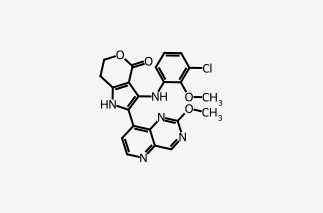 COc1ncc2nccc(-c3[nH]c4c(c3Nc3cccc(Cl)c3OC)C(=O)OCC4)c2n1